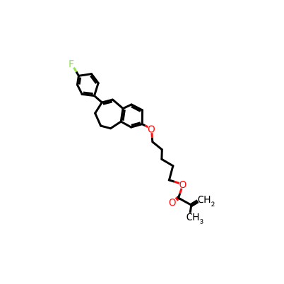 C=C(C)C(=O)OCCCCCOc1ccc2c(c1)CCCC(c1ccc(F)cc1)=C2